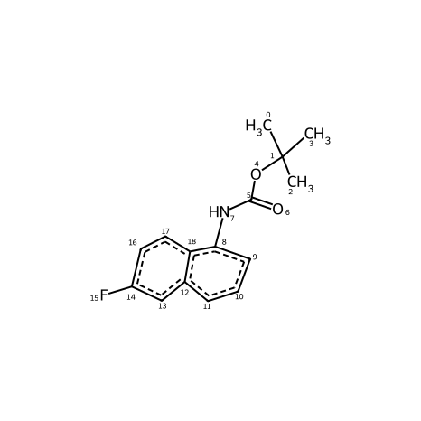 CC(C)(C)OC(=O)Nc1cccc2cc(F)ccc12